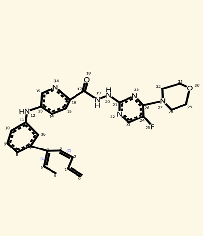 C=C/C=C\C(=C/C)c1cccc(Nc2ccc(C(=O)NNc3ncc(F)c(N4CCOCC4)n3)nc2)c1